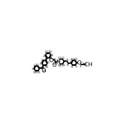 C#CCOc1ccc(CCC2CCN(C(=O)COc3ccccc3-c3ccc(C(=O)c4ccccc4)cc3)CC2)cc1